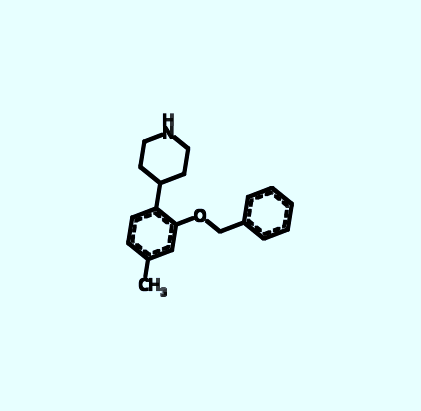 Cc1ccc(C2CCNCC2)c(OCc2ccccc2)c1